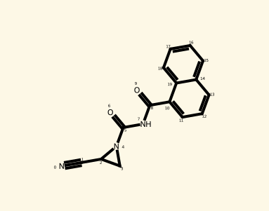 N#CC1CN1C(=O)NC(=O)c1cccc2ccccc12